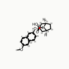 COc1ccc2cc(O[C@@H]3C[C@H]4CC[C@@H](C3)N4C(=O)O)ccc2c1